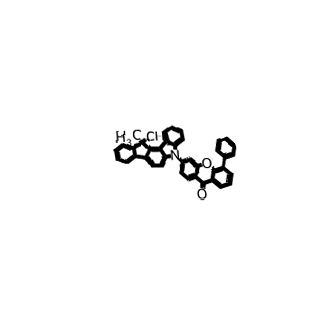 CC1(C)c2ccccc2-c2ccc3c(c21)c1ccccc1n3-c1ccc2c(=O)c3cccc(-c4ccccc4)c3oc2c1